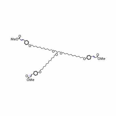 COC(=O)/C=C/c1ccc(OCCCCCCCCCCCOCC(COCCCCCCCCCCCOc2ccc(/C=C/C(=O)OC)cc2)OCCCCCCCCCCCOc2ccc(/C=C/C(=O)OC)cc2)cc1